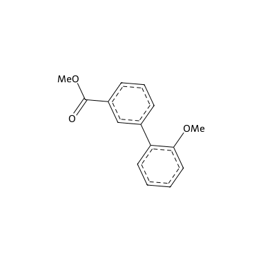 COC(=O)c1cccc(-c2ccccc2OC)c1